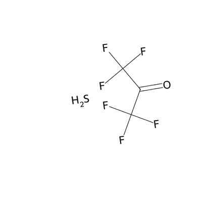 O=C(C(F)(F)F)C(F)(F)F.S